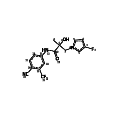 CC(O)(Cn1ccc(F)c1)C(=O)Nc1ccc(C#N)c(C(F)(F)F)c1